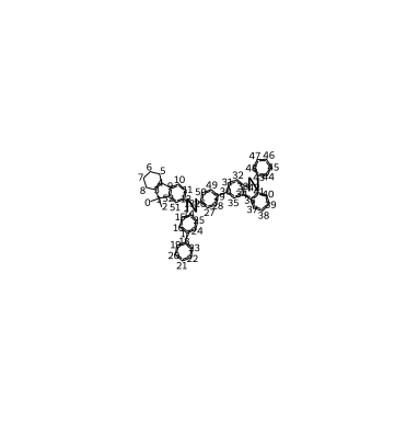 CC1(C)C2=C(CCCC2)c2ccc(N(c3ccc(-c4ccccc4)cc3)c3ccc(-c4ccc5c(c4)c4ccccc4n5-c4ccccc4)cc3)cc21